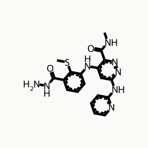 CNC(=O)c1nnc(Nc2ccccn2)cc1Nc1cccc(C(=O)NN)c1SC